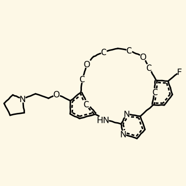 Fc1ccc2cc1COCCCCOCc1cc(ccc1OCCN1CCCC1)Nc1nccc-2n1